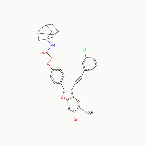 O=C(COc1ccc(-c2oc3cc(O)c(C(=O)O)cc3c2C#Cc2cccc(Cl)c2)cc1)NC12CC3CC(CC(C3)C1)C2